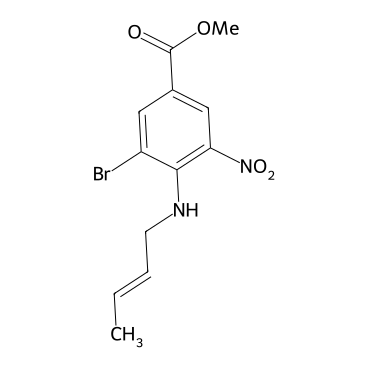 C/C=C/CNc1c(Br)cc(C(=O)OC)cc1[N+](=O)[O-]